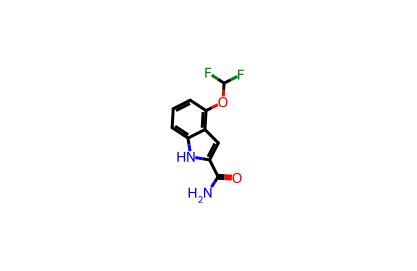 NC(=O)c1cc2c(OC(F)F)cccc2[nH]1